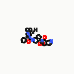 O=C(O)N1CCN(C(=O)N2CCC(O)(Cn3ccc4ccncc4c3=O)C3(CCCC3)C2)[C@H](c2ccccc2)C1